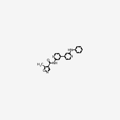 Cc1oncc1C(=O)Nc1cc(-c2ccnc(Nc3ccccc3)c2)ccn1